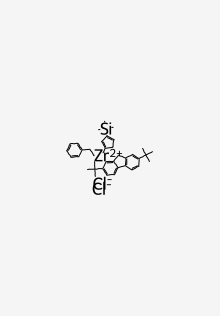 CC(C)(C)c1ccc2c(c1)Cc1c-2ccc(C(C)(C)C)[c]1[Zr+2](=[CH]Cc1ccccc1)[C]1=CC([Si](C)(C)C)=CC1.[Cl-].[Cl-]